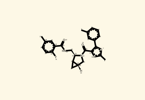 Cc1cccc(-c2sc(C)nc2C(=O)N2C[C@@H]3CC3[C@H]2CNC(=O)c2cc(C)ccc2F)c1